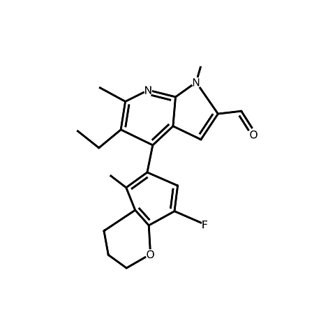 CCc1c(C)nc2c(cc(C=O)n2C)c1-c1cc(F)c2c(c1C)CCCO2